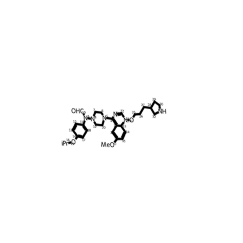 COC1=CC2=C(N3CCN(N(C=O)c4ccc(OC(C)C)cc4)CC3)N=CN(OCCCC3CCNC3)C2C=C1